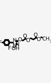 CCOC(=O)CCOC(=O)COc1nc(-c2ccc(F)cc2F)n(O)n1